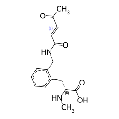 CN[C@H](Cc1ccccc1CNC(=O)/C=C/C(C)=O)C(=O)O